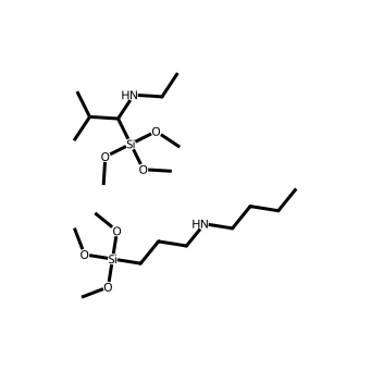 CCCCNCCC[Si](OC)(OC)OC.CCNC(C(C)C)[Si](OC)(OC)OC